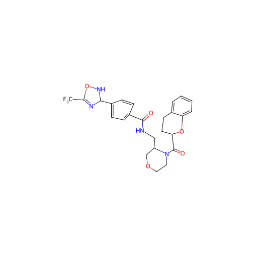 O=C(NCC1COCCN1C(=O)C1CCc2ccccc2O1)c1ccc(C2N=C(C(F)(F)F)ON2)cc1